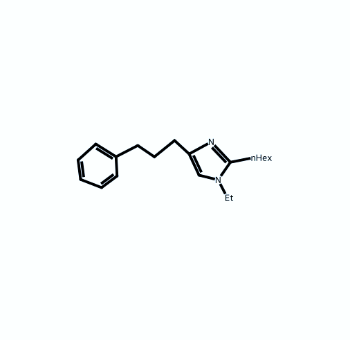 CCCCCCc1nc(CCCc2ccccc2)cn1CC